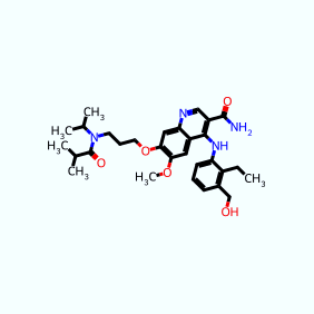 CCc1c(CO)cccc1Nc1c(C(N)=O)cnc2cc(OCCCN(C(=O)C(C)C)C(C)C)c(OC)cc12